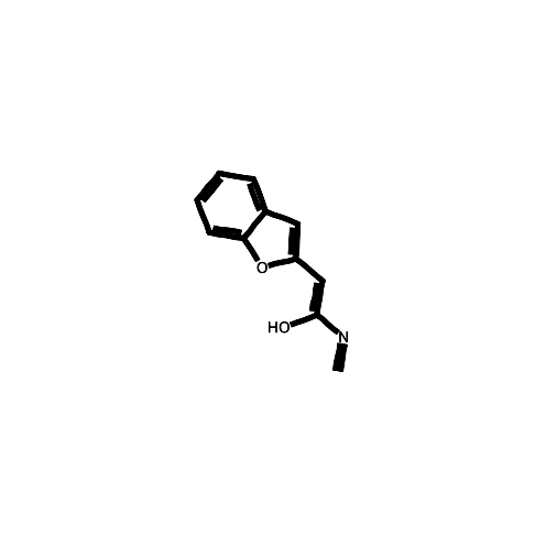 C=NC(O)=Cc1cc2ccccc2o1